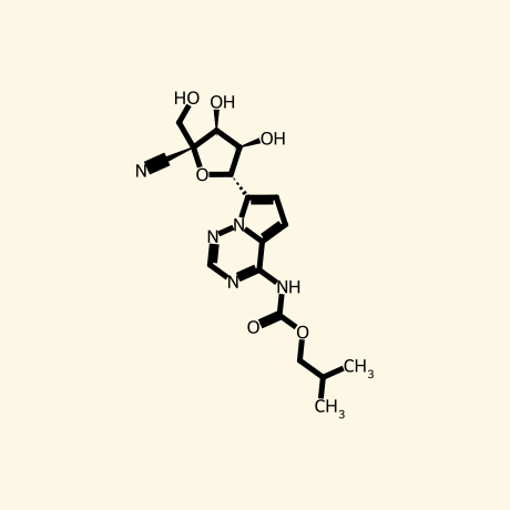 CC(C)COC(=O)Nc1ncnn2c([C@@H]3O[C@](C#N)(CO)[C@@H](O)[C@H]3O)ccc12